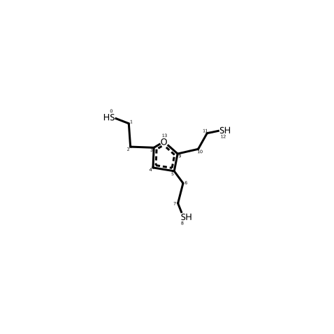 SCCc1cc(CCS)c(CCS)o1